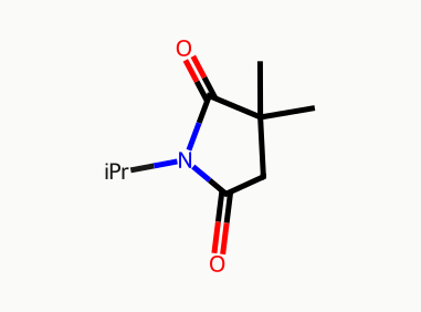 CC(C)N1C(=O)CC(C)(C)C1=O